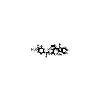 COc1nc(NC2CCC(C)(O)CC2)nn2ccc(-c3cc4cnccc4[nH]3)c12